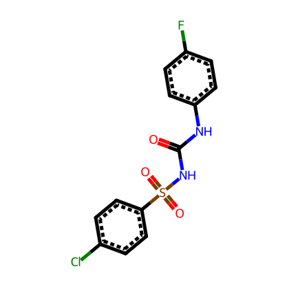 O=C(Nc1ccc(F)cc1)NS(=O)(=O)c1ccc(Cl)cc1